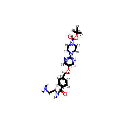 CN(C)CCN(C)C(=O)c1ccc(COc2cnc(N3CCN(C(=O)OC(C)(C)C)CC3)nc2)cc1